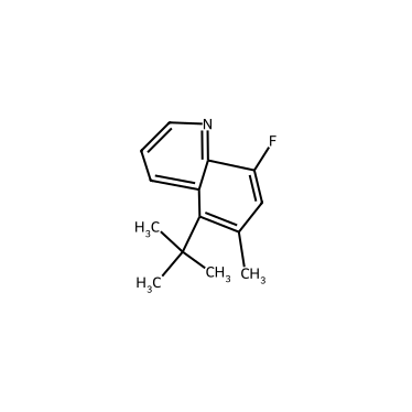 Cc1cc(F)c2ncccc2c1C(C)(C)C